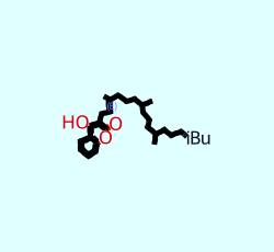 CCC(C)CCCC(C)CCCC(C)CCC/C(C)=C/Cc1c(O)c2ccccc2oc1=O